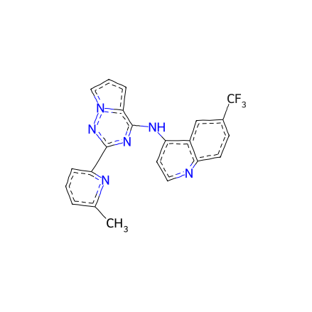 Cc1cccc(-c2nc(Nc3ccnc4ccc(C(F)(F)F)cc34)c3cccn3n2)n1